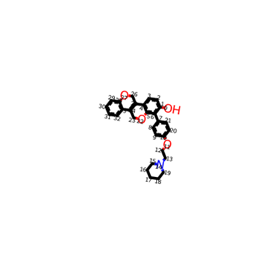 Oc1ccc2c(c1-c1ccc(OCCN3CCCCC3)cc1)OCC1=C2COc2ccccc21